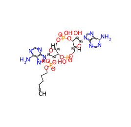 C#CCCCCOP(=O)(O)O[C@H]1C2OP(=O)(O)OC[C@H]3O[C@@H](n4cnc5c(N)ncnc54)[C@@H](O)C3OP(=O)(O)OC[C@H]2O[C@H]1n1cnc2c(N)ncnc21